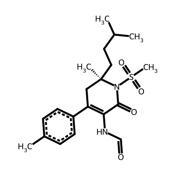 Cc1ccc(C2=C(NC=O)C(=O)N(S(C)(=O)=O)[C@](C)(CCC(C)C)C2)cc1